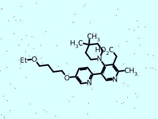 CCOCCCCOc1ccc(-c2cnc(C)c(CC(=O)O)c2N2CCC(C)(C)CC2)nc1